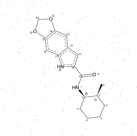 C[C@H]1CCCC[C@H]1NC(=O)c1cc2cc3c(cc2[nH]1)OCO3